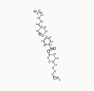 CCCCCC1CCC(OC(=O)c2ccc([C@H]3CC[C@H](CCCCC)CO3)cc2)CC1